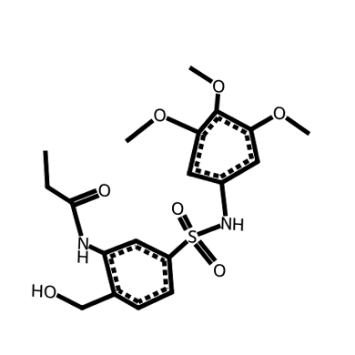 CCC(=O)Nc1cc(S(=O)(=O)Nc2cc(OC)c(OC)c(OC)c2)ccc1CO